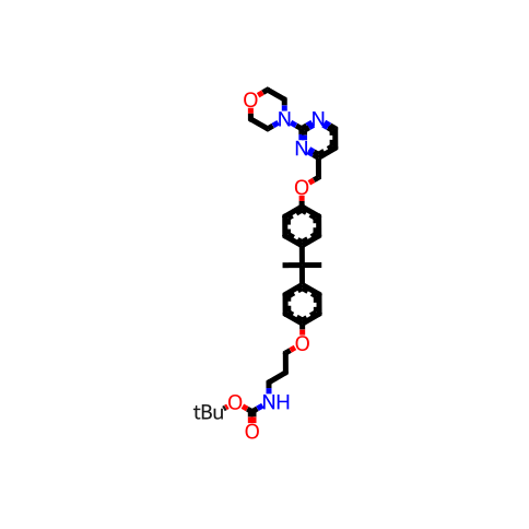 CC(C)(C)OC(=O)NCCCOc1ccc(C(C)(C)c2ccc(OCc3ccnc(N4CCOCC4)n3)cc2)cc1